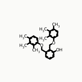 Cc1ccc(OCc2cccc(O)c2COc2ccc(C)c(C)c2C)c(C)c1C